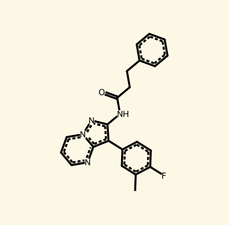 Cc1cc(-c2c(NC(=O)CCc3ccccc3)nn3cccnc23)ccc1F